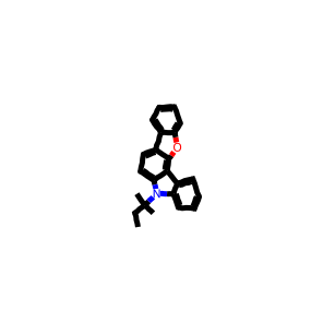 CCC(C)(C)n1c2ccccc2c2c3oc4ccccc4c3ccc21